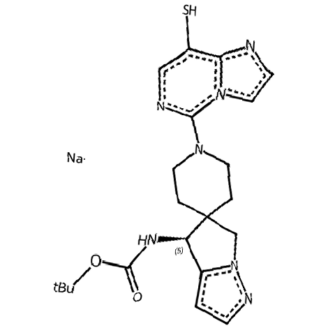 CC(C)(C)OC(=O)N[C@@H]1c2ccnn2CC12CCN(c1ncc(S)c3nccn13)CC2.[Na]